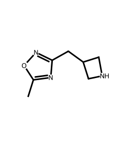 Cc1nc(CC2CNC2)no1